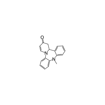 CN1c2ccccc2C2CC(=O)C=CN2c2ccccc21